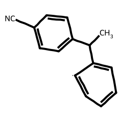 CC(c1[c]cccc1)c1ccc(C#N)cc1